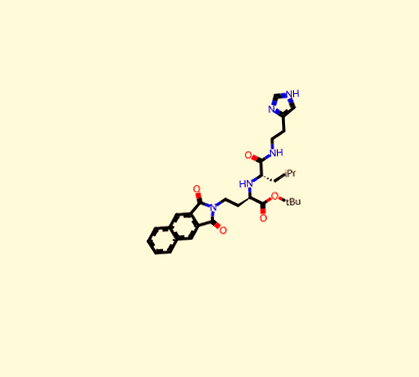 CC(C)C[C@H](N[C@H](CCN1C(=O)c2cc3ccccc3cc2C1=O)C(=O)OC(C)(C)C)C(=O)NCCc1c[nH]cn1